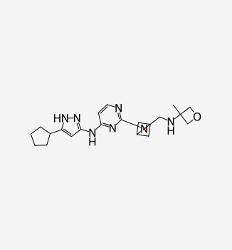 CC1(NCC23CC(C2)N(c2nccc(Nc4cc(C5CCCC5)[nH]n4)n2)C3)COC1